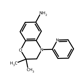 CC1(C)CN(c2ccccn2)c2cc(N)ccc2O1